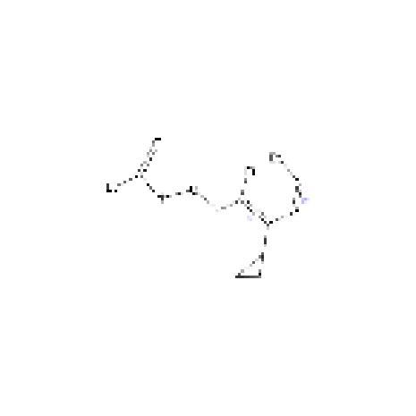 CC/C=C\C(=C(/CC)CONC(=O)CC)C1CC1